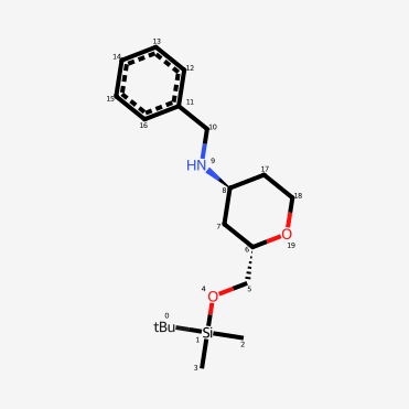 CC(C)(C)[Si](C)(C)OC[C@@H]1C[C@@H](NCc2ccccc2)CCO1